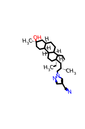 CC[C@]12CC[C@H]3[C@@H](CC[C@@H]4C[C@](C)(O)CC[C@@H]43)[C@@H]1CC[C@@H]2[C@H](C)Cn1cc(C#N)cn1